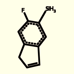 Fc1cc2c(cc1[SiH3])C=CC2